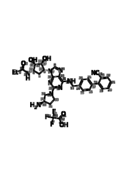 CCC(=O)N[C@H]1C[C@@H](n2cnc3c(NCc4ccc(-c5ccccc5C#N)cc4)nc(N4CC[C@@H](N)C4)nc32)[C@H](O)[C@@H]1O.O=C(O)C(F)(F)F